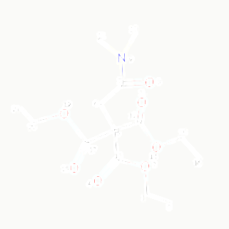 CCOC(=O)C(CC(=O)N(C)C)(C(=O)OCC)C(=O)OCC